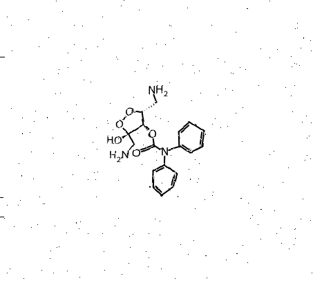 NC[C@H]1OO[C@@](O)(CN)[C@@H]1OC(=O)N(c1ccccc1)c1ccccc1